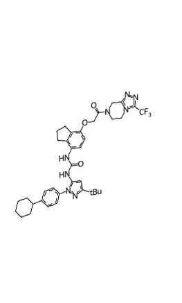 CC(C)(C)c1cc(NC(=O)Nc2ccc(OCC(=O)N3CCn4c(nnc4C(F)(F)F)C3)c3c2CCC3)n(-c2ccc(C3CCCCC3)cc2)n1